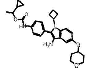 CC(OC(=O)Nc1ccc(-c2c(N)c3cc(OC4CCOCC4)ccc3n2C2CCC2)cc1)C1CC1